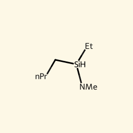 CCCC[SiH](CC)NC